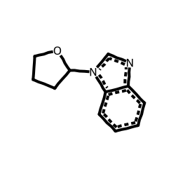 c1ccc2c(c1)ncn2C1CCCO1